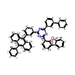 c1ccc(-c2cccc(-c3nc(-c4cccc(-c5c6ccccc6c(-c6ccccc6)c6ccccc56)c4)nc(-c4cccc5c4oc4ccccc45)n3)c2)cc1